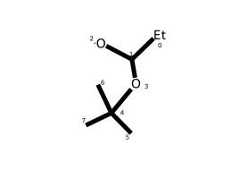 CCC([O])OC(C)(C)C